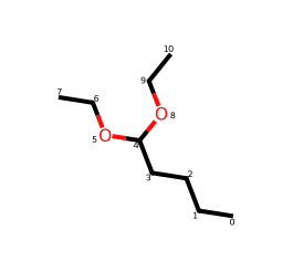 CCCC[C](OCC)OCC